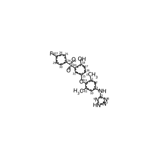 Cc1cc(Nc2nn[nH]n2)cc(C)c1Oc1ccc(O)c(S(=O)(=O)c2ccc(F)cc2)c1